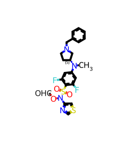 CN(c1cc(F)c(S(=O)(=O)N(OC=O)c2cscn2)c(F)c1)[C@H]1CCN(Cc2ccccc2)C1